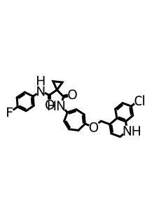 O=C(NC1=CC=C(OCC2=CCNc3cc(Cl)ccc32)CC=C1)C1(C(=O)Nc2ccc(F)cc2)CC1